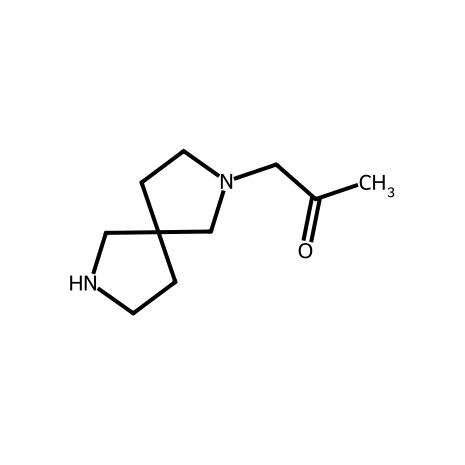 CC(=O)CN1CCC2(CCNC2)C1